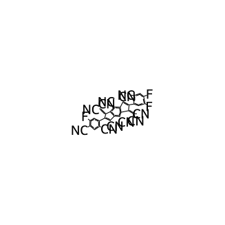 N#CC(C#N)=C1C(c2cc(F)c(F)cc2C#N)=C(C#N)c2c(C#N)c3c(c(C#N)c21)C(C#N)=C(c1cc(F)c(C#N)cc1C#N)C3=C(C#N)C#N